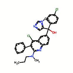 CCCN(C)c1nc2ccc(C(O)(c3ccc(Cl)cc3)c3cncn3C)cc2c(Cl)c1-c1ccccc1